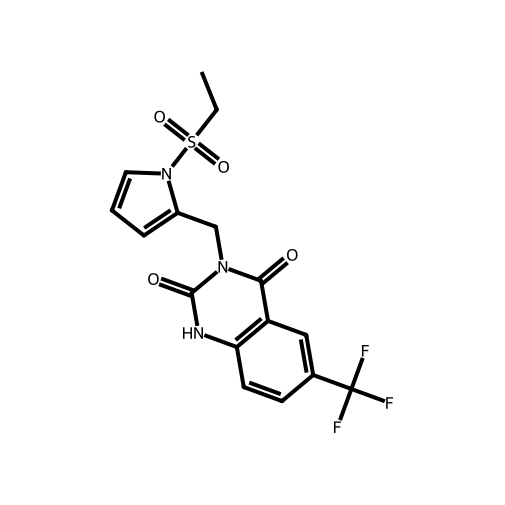 CCS(=O)(=O)n1cccc1Cn1c(=O)[nH]c2ccc(C(F)(F)F)cc2c1=O